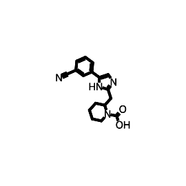 N#Cc1cccc(-c2cnc(CC3CCCCN3C(=O)O)[nH]2)c1